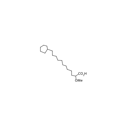 COC(CCCCCCCCCCC1CCCCC1)C(=O)O